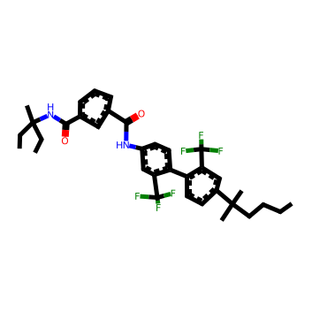 CCCCC(C)(C)c1ccc(-c2ccc(NC(=O)c3cccc(C(=O)NC(C)(CC)CC)c3)cc2C(F)(F)F)c(C(F)(F)F)c1